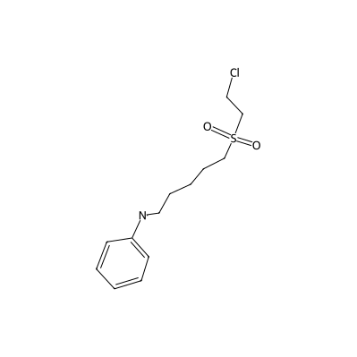 O=S(=O)(CCCl)CCCCC[N]c1ccccc1